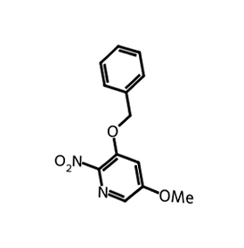 COc1cnc([N+](=O)[O-])c(OCc2ccccc2)c1